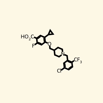 O=C(O)c1cc(C2CC2)c(OCC2CCN(Cc3cc(Cl)ccc3C(F)(F)F)CC2)cc1F